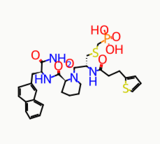 NC(=O)[C@H](Cc1ccc2ccccc2c1)NC(=O)[C@@H]1CCCCN1C(=O)[C@H](CSCP(=O)(O)O)NC(=O)CCc1cccs1